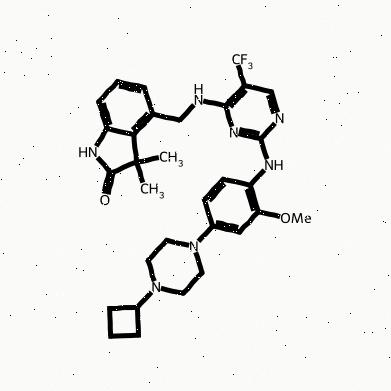 COc1cc(N2CCN(C3CCC3)CC2)ccc1Nc1ncc(C(F)(F)F)c(NCc2cccc3c2C(C)(C)C(=O)N3)n1